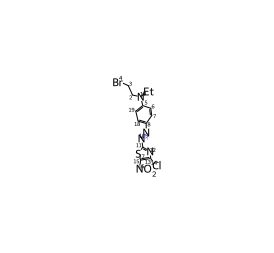 CCN(CCBr)c1ccc(/N=N/c2nc(Cl)c([N+](=O)[O-])s2)cc1